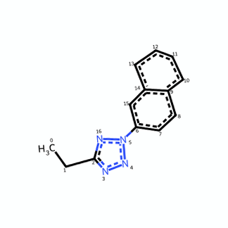 CCc1nnn(-c2ccc3ccccc3c2)n1